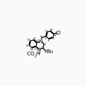 CC(C)(C)C1CN(Cc2ccc(Cl)cc2)c2ccccc2N1C(=O)O